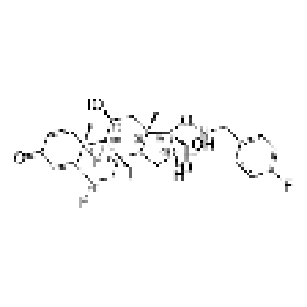 C[C@]12C=CC(=O)C=C1[C@@H](F)C[C@H]1C3C[C@H]4CN(Cc5ccc(F)cc5)O[C@@]4(C(=O)O)[C@@]3(C)C[C@H](O)[C@@]12F